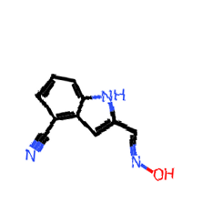 N#Cc1cccc2[nH]c(C=NO)cc12